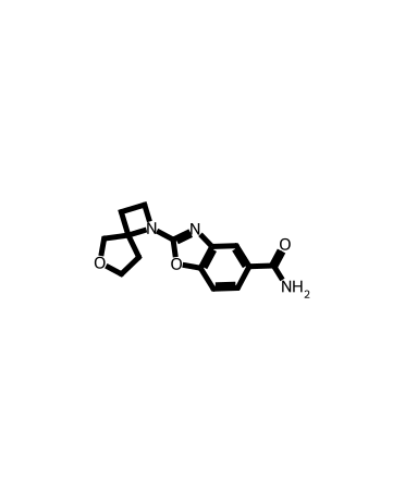 NC(=O)c1ccc2oc(N3CCC34CCOC4)nc2c1